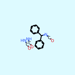 N=C=O.N=C=O.O=C=NC(c1ccccc1)c1ccccc1